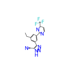 CCc1cc(-c2nccc(C(F)(F)F)n2)cc(-c2nn[nH]c2C#N)c1